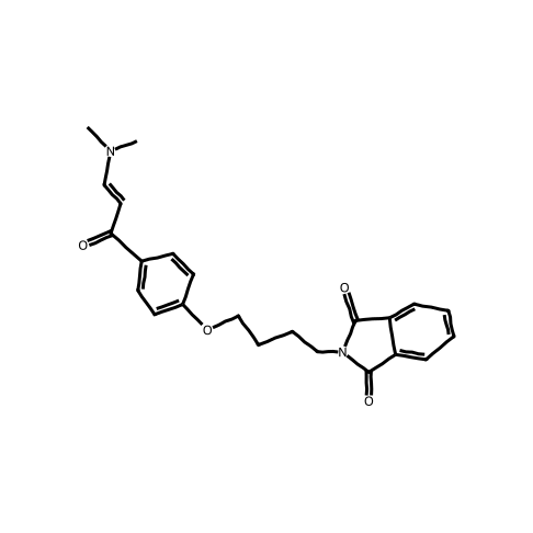 CN(C)C=CC(=O)c1ccc(OCCCCN2C(=O)c3ccccc3C2=O)cc1